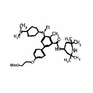 CCN(c1cc(-c2ccc(OCCOC)cc2)cc(C(=O)NC2CC(C)(C)NC(C)(C)C2)c1C)C1CCC(N(C)C)CC1